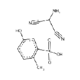 Cc1ccc(O)cc1S(=O)(=O)O.N#CC(N)C#N